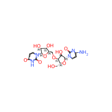 Nc1ccn([C@@H]2O[C@H](CO)[C@@H](OC[C@H]3O[C@@H](n4ccc(=O)[nH]c4=O)[C@H](O)[C@@H]3O)[C@H]2O)c(=O)n1